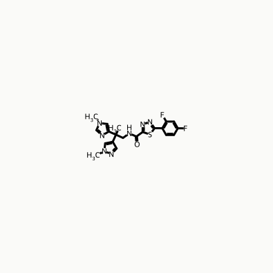 Cn1cnc(C(C)(CNC(=O)c2nnc(-c3ccc(F)cc3F)s2)c2cnn(C)c2)c1